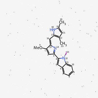 COC1=CC(c2cc3ccccc3n2I)=N/C1=C\c1[nH]c(C)cc1C